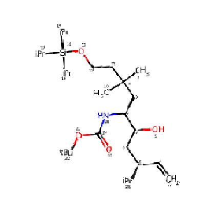 C=C[C@H](C[C@H](O)[C@H](CC(C)(C)CCO[Si](C(C)C)(C(C)C)C(C)C)NC(=O)OC(C)(C)C)C(C)C